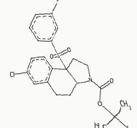 CC(C)(I)OC(=O)N1CCC2(S(=O)(=O)c3cccc(F)c3)c3ccc(Cl)cc3CCC12